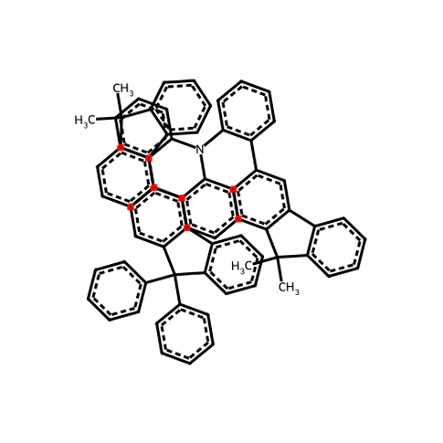 CC1(C)c2ccccc2-c2cc(-c3ccccc3N(c3ccccc3-c3ccc4c(c3)-c3ccccc3C4(c3ccccc3)c3ccccc3)c3ccccc3-c3cccc4c3-c3ccccc3C4(C)C)ccc21